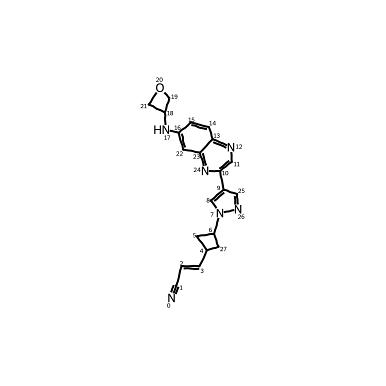 N#CC=CC1CC(n2cc(-c3cnc4ccc(NC5COC5)cc4n3)cn2)C1